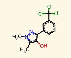 Cc1c(O)c(-c2cccc(C(Cl)(Cl)Cl)c2)nn1C